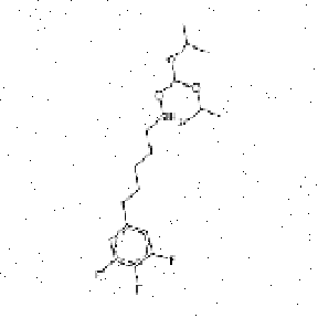 CC(C)OC(O[SiH2]CCCCCc1cc(F)c(F)c(F)c1)OC(C)C